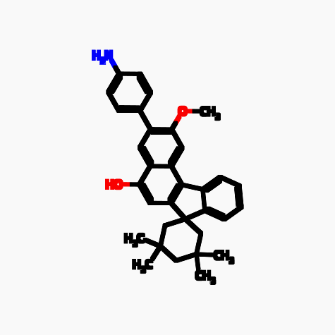 COc1cc2c3c(cc(O)c2cc1-c1ccc(N)cc1)C1(CC(C)(C)CC(C)(C)C1)c1ccccc1-3